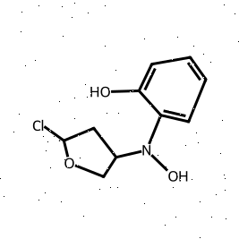 Oc1ccccc1N(O)C1CO[C](Cl)C1